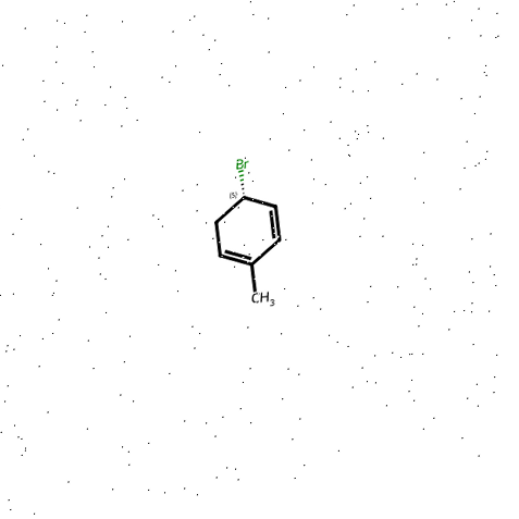 CC1=CC[C@H](Br)C=C1